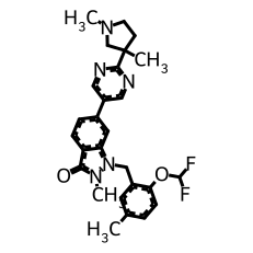 Cc1ccc(OC(F)F)c(Cn2c3cc(-c4cnc(C5(C)CCN(C)C5)nc4)ccc3c(=O)n2C)c1